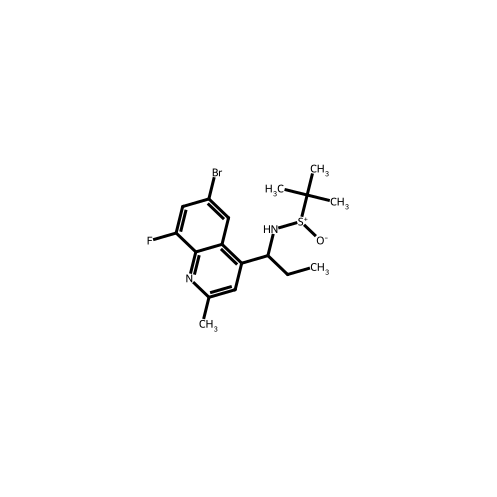 CCC(N[S+]([O-])C(C)(C)C)c1cc(C)nc2c(F)cc(Br)cc12